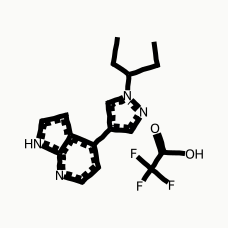 CCC(CC)n1cc(-c2ccnc3[nH]ccc23)cn1.O=C(O)C(F)(F)F